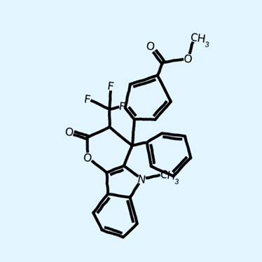 COC(=O)c1ccc(C2(c3ccccc3)c3c(c4ccccc4n3C)OC(=O)C2C(F)(F)F)cc1